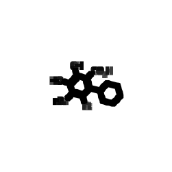 CCCCc1c(O)c(O)c(C(=O)O)c(C2CCCCC2)c1CC